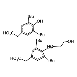 CC(C)(C)c1cc(CC(=O)O)cc(C(C)(C)C)c1O.CC(C)(C)c1cc(CC(=O)O)cc(C(C)(C)C)c1O.OCCO